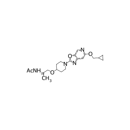 CC(=O)N[C@@H](C)COC1CCN(c2nc3cc(OCC4CC4)ncc3o2)CC1